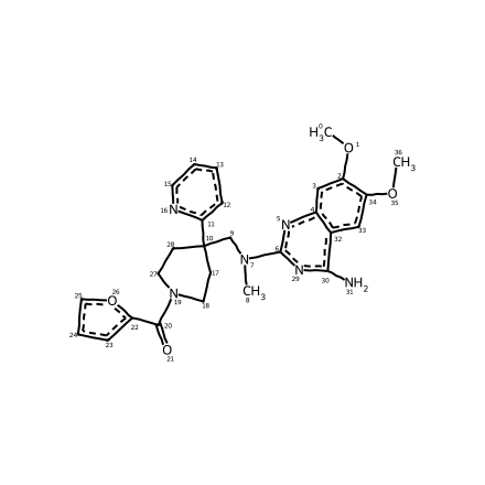 COc1cc2nc(N(C)CC3(c4ccccn4)CCN(C(=O)c4ccco4)CC3)nc(N)c2cc1OC